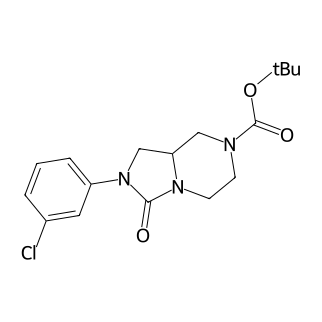 CC(C)(C)OC(=O)N1CCN2C(=O)N(c3cccc(Cl)c3)CC2C1